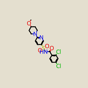 COC1CCN(c2ccc(S(=O)(=O)NC(=O)c3ccc(Cl)cc3Cl)cn2)CC1